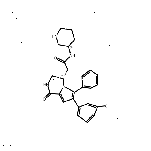 O=C(C[C@H]1CNC(=O)c2cc(-c3cccc(Cl)c3)c(-c3ccccc3)n21)N[C@@H]1CCCNC1